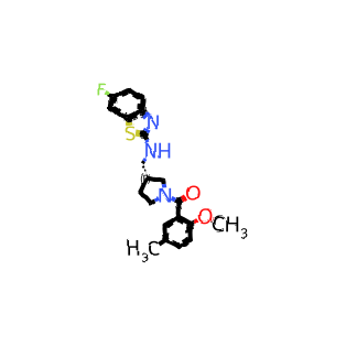 COc1ccc(C)cc1C(=O)N1CC[C@H](CNc2nc3ccc(F)cc3s2)C1